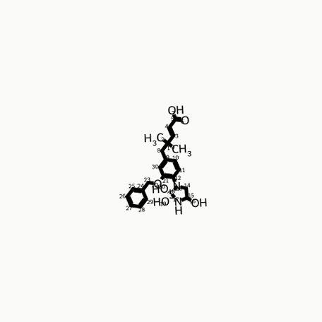 CC(C)(/C=C/C(=O)O)Cc1ccc(N2CC(O)NS2(O)O)c(OCc2ccccc2)c1